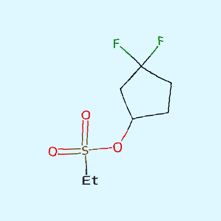 CCS(=O)(=O)OC1CCC(F)(F)C1